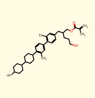 C=C(C)C(=O)OCC(CCCO)Cc1ccc(-c2ccc(C3CCC(C4CCC(CCC)CC4)CC3)c(C)c2)c(CC)c1